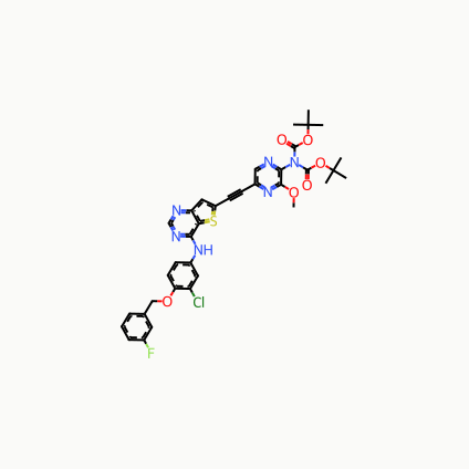 COc1nc(C#Cc2cc3ncnc(Nc4ccc(OCc5cccc(F)c5)c(Cl)c4)c3s2)cnc1N(C(=O)OC(C)(C)C)C(=O)OC(C)(C)C